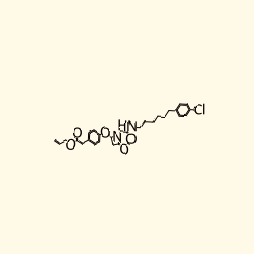 C=CCOC(=O)Cc1ccc(OC2CC(=O)N2CC(=O)NCCCCCCc2ccc(Cl)cc2)cc1